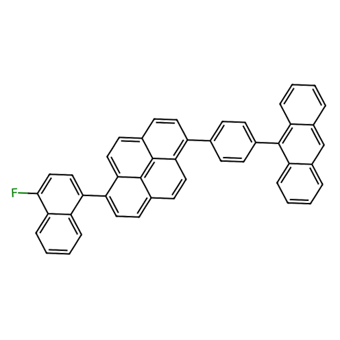 Fc1ccc(-c2ccc3ccc4c(-c5ccc(-c6c7ccccc7cc7ccccc67)cc5)ccc5ccc2c3c54)c2ccccc12